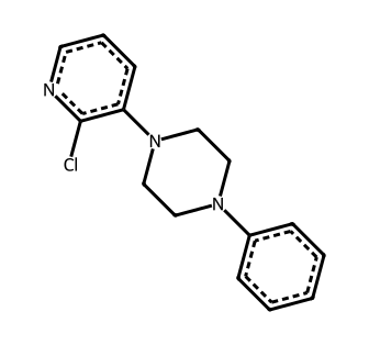 Clc1ncccc1N1CCN(c2ccccc2)CC1